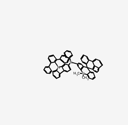 C[Si]1(C)c2ccccc2C2(c3ccccc3-c3cccc4cccc2c34)c2ccc(N(c3ccccc3)c3ccc4c5ccccc5n(-c5c(-c6ccccc6)cccc5-c5ccccc5)c4c3)cc21